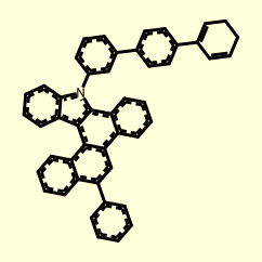 C1=CC(c2ccc(-c3cccc(-n4c5ccccc5c5c6c7ccccc7c(-c7ccccc7)cc6c6ccccc6c54)c3)cc2)=CCC1